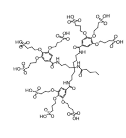 CCCCC(=O)NC(CCCNC(=O)c1cc(OCCCS(=O)(=O)O)c(OCCCS(=O)(=O)O)c(OCCCS(=O)(=O)O)c1)(CCCNC(=O)c1cc(OCCCS(=O)(=O)O)c(OCCCS(=O)(=O)O)c(OCCCS(=O)(=O)O)c1)CCCNC(=O)c1cc(OCCCS(=O)(=O)O)c(OCCCS(=O)(=O)O)c(OCCCS(=O)(=O)O)c1